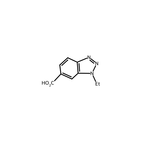 CCn1nnc2ccc(C(=O)O)cc21